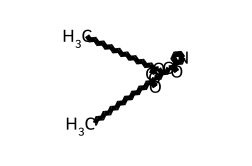 CCCCCCCCCCCCCCCCCC(=O)OCC(COC(=O)c1cccnc1)OC(=O)CCCCCCCCCCCCCCCCC